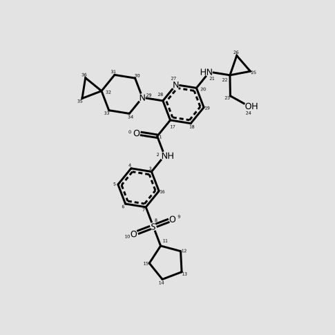 O=C(Nc1cccc(S(=O)(=O)C2CCCC2)c1)c1ccc(NC2(CO)CC2)nc1N1CCC2(CC1)CC2